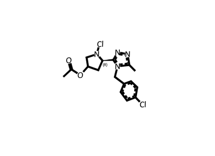 CC(=O)OC1C[C@H](c2nnc(C)n2Cc2ccc(Cl)cc2)N(Cl)C1